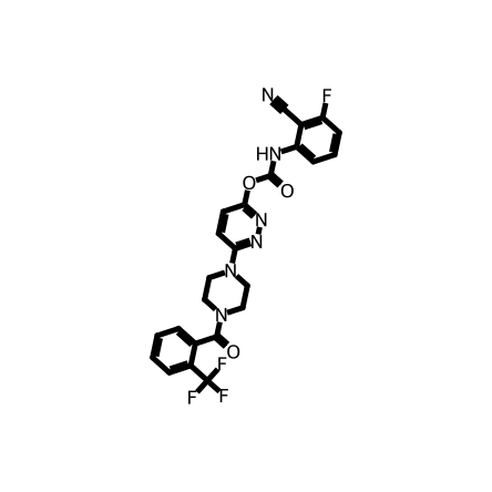 N#Cc1c(F)cccc1NC(=O)Oc1ccc(N2CCN(C(=O)c3ccccc3C(F)(F)F)CC2)nn1